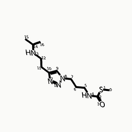 CSC(=O)NCCCn1cc(CCNC(C)C)nn1